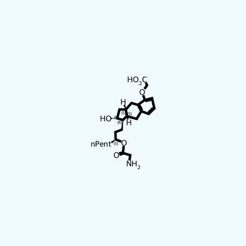 CCCCC[C@@H](CC[C@@H]1[C@H]2Cc3cccc(OCC(=O)O)c3C[C@H]2C[C@H]1O)OC(=O)CN